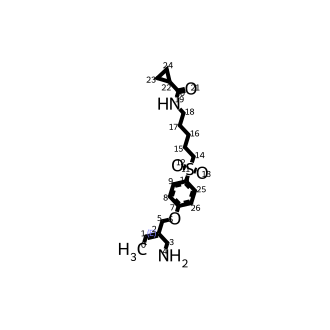 C/C=C(\CN)COc1ccc(S(=O)(=O)CCCCCNC(=O)C2CC2)cc1